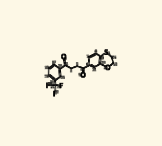 O=C(CCC(=O)c1ccc2c(c1)OCCS2)c1cccc(C(F)(F)F)c1